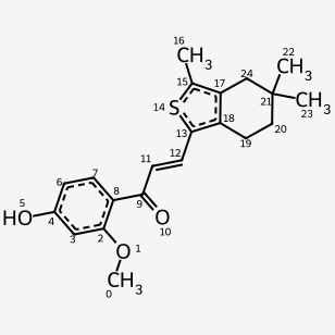 COc1cc(O)ccc1C(=O)C=Cc1sc(C)c2c1CCC(C)(C)C2